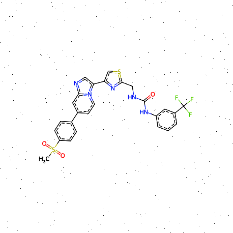 CS(=O)(=O)c1ccc(-c2ccn3c(-c4csc(CNC(=O)Nc5cccc(C(F)(F)F)c5)n4)cnc3c2)cc1